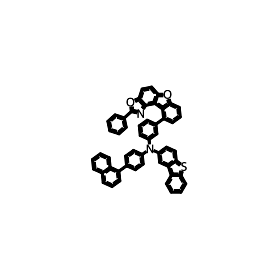 c1ccc(-c2nc3c(ccc4oc5cccc(-c6cccc(N(c7ccc(-c8cccc9ccccc89)cc7)c7ccc8sc9ccccc9c8c7)c6)c5c43)o2)cc1